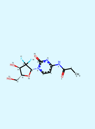 CCC(=O)Nc1ccn([C@@H]2O[C@H](CO)[C@@H](O)C2(F)F)c(=O)n1